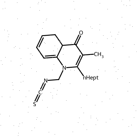 CCCCCCCC1=C(C)C(=O)C2CC=CC=C2N1CN=C=S